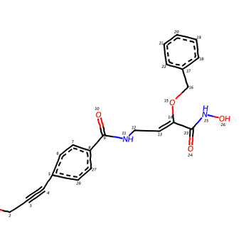 COCC#Cc1ccc(C(=O)NCC=C(OCc2ccccc2)C(=O)NO)cc1